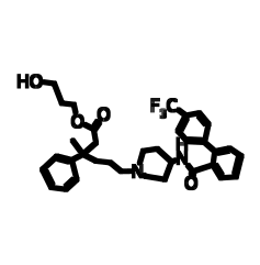 CC(CCCN1CCC(NC(=O)c2ccccc2-c2ccc(C(F)(F)F)cc2)CC1)(CC(=O)OCCCO)c1ccccc1